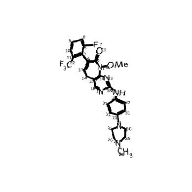 CON1C(=O)C(c2c(F)cccc2C(F)(F)F)=CCc2cnc(Nc3ccc(N4CCN(C)CC4)cc3)nc21